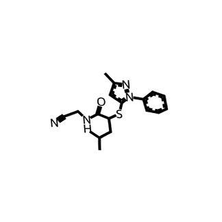 Cc1cc(SC(CC(C)C)C(=O)NCC#N)n(-c2ccccc2)n1